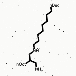 CCCCCCCCCCCCCCCCCCNCC(CN)CCCCCCCC